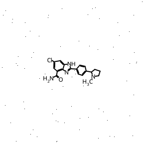 CN1CCCC1c1ccc(-c2nc3c(C(N)=O)cc(Cl)cc3[nH]2)cc1